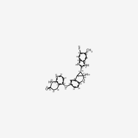 Cc1cc2[nH]c([C@@H]3C4c5cc(Oc6ccnc7c6CCC(=O)N7)ccc5O[C@H]43)nc2cc1F